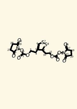 O=C(OCCC1=CSSC1CCOC(=O)ON1C(=O)CCC1=O)ON1C(=O)CCC1=O